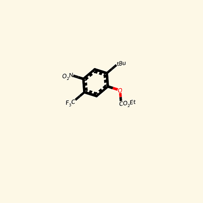 CCOC(=O)Oc1cc(C(F)(F)F)c([N+](=O)[O-])cc1C(C)(C)C